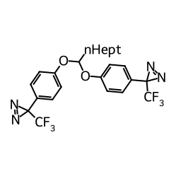 CCCCCCCC(Oc1ccc(C2(C(F)(F)F)N=N2)cc1)Oc1ccc(C2(C(F)(F)F)N=N2)cc1